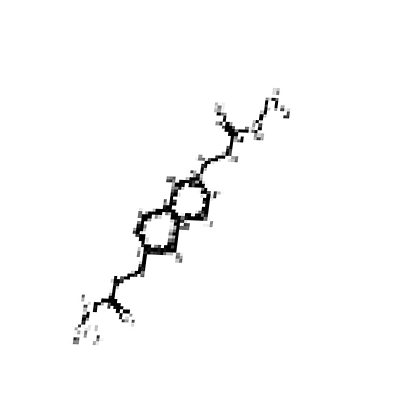 COC(=O)CCc1ccc2cc(CCC(=O)OC)ccc2c1